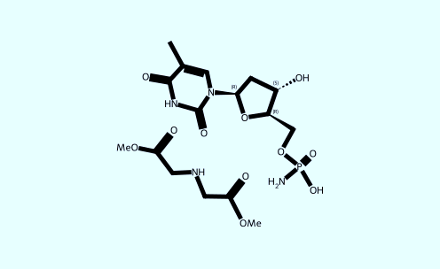 COC(=O)CNCC(=O)OC.Cc1cn([C@H]2C[C@H](O)[C@@H](COP(N)(=O)O)O2)c(=O)[nH]c1=O